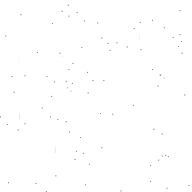 C=C(C)c1cc2cc([N+](=O)[O-])c(C)cc2n1S(C)(=O)=O